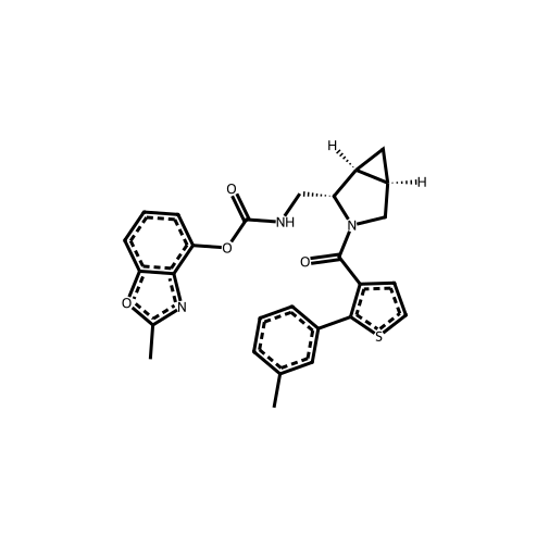 Cc1cccc(-c2sccc2C(=O)N2C[C@@H]3C[C@@H]3[C@H]2CNC(=O)Oc2cccc3oc(C)nc23)c1